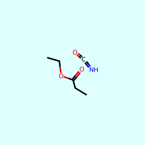 CCOC(=O)CC.N=C=O